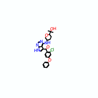 CC(C)(O)C1CC[C@@H](Nc2ncnc3[nH]cc(C(=O)c4ccc(Oc5ccccc5)cc4Cl)c23)CO1